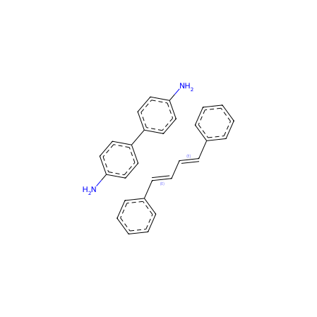 C(/C=C/c1ccccc1)=C\c1ccccc1.Nc1ccc(-c2ccc(N)cc2)cc1